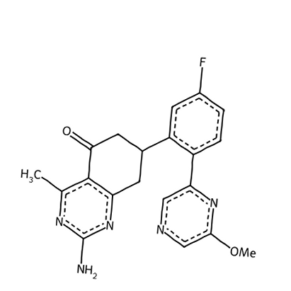 COc1cncc(-c2ccc(F)cc2C2CC(=O)c3c(C)nc(N)nc3C2)n1